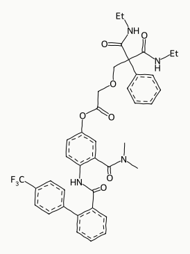 CCNC(=O)C(COCC(=O)Oc1ccc(NC(=O)c2ccccc2-c2ccc(C(F)(F)F)cc2)c(C(=O)N(C)C)c1)(C(=O)NCC)c1ccccc1